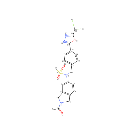 CC(=O)N1Cc2ccc(N(Cc3ccc(-c4nnc(C(F)F)o4)cc3)S(C)(=O)=O)cc2C1